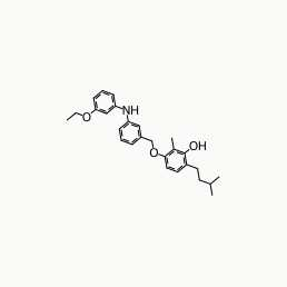 CCOc1cccc(Nc2cccc(COc3ccc(CCC(C)C)c(O)c3C)c2)c1